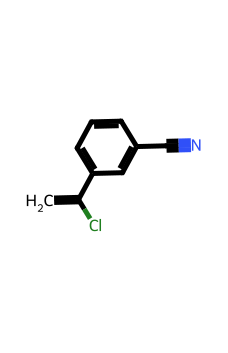 C=C(Cl)c1cccc(C#N)c1